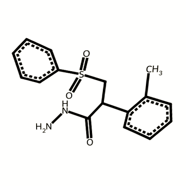 Cc1ccccc1C(CS(=O)(=O)c1ccccc1)C(=O)NN